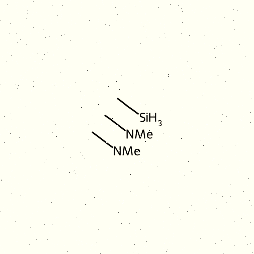 CNC.CNC.C[SiH3]